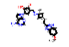 CC(C)[C@]1(NC[C@H]2C[C@@H](n3ccc4c(N)ncnc43)[C@H](O)[C@@H]2O)C[C@H](CCc2nc3cc(OC(F)(F)F)ccc3[nH]2)C1